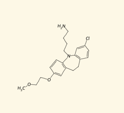 COCCOc1ccc2c(c1)CCc1ccc(Cl)cc1N2CCCCN